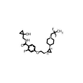 CC(F)(F)CN1CCC([C@H]2C[C@H]2CCOc2ccc(C(=O)NCC3(O)CC3)c(F)c2)CC1